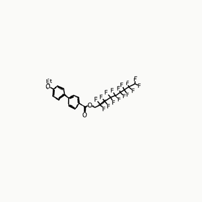 CCOc1ccc(-c2ccc(C(=O)OCC(F)(F)C(F)(F)C(F)(F)C(F)(F)C(F)(F)C(F)(F)C(F)(F)C(F)F)cc2)cc1